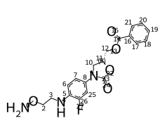 NOCCNc1ccc(N2C[C@H](COC(=O)c3ccccc3)OC2=O)cc1F